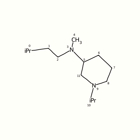 CC(C)CCN(C)C1CCCN(C(C)C)C1